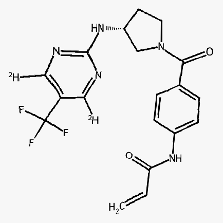 [2H]c1nc(N[C@@H]2CCN(C(=O)c3ccc(NC(=O)C=C)cc3)C2)nc([2H])c1C(F)(F)F